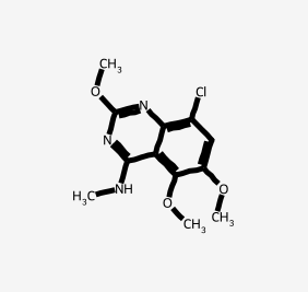 CNc1nc(OC)nc2c(Cl)cc(OC)c(OC)c12